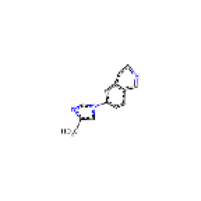 O=C(O)c1cn(-c2ccc3cnccc3c2)cn1